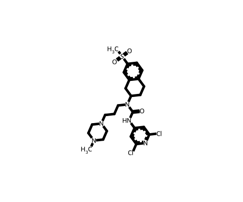 CN1CCN(CCCN(C(=O)Nc2cc(Cl)nc(Cl)c2)C2CCc3ccc(S(C)(=O)=O)cc3C2)CC1